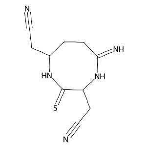 N#CCC1CCC(=N)NC(CC#N)C(=S)N1